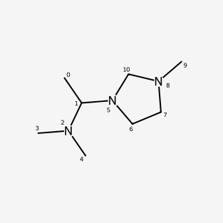 CC(N(C)C)N1CCN(C)C1